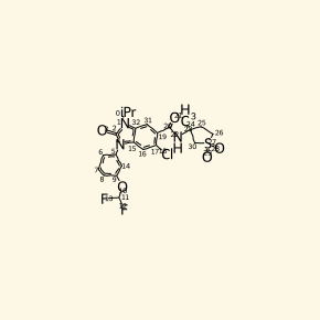 CC(C)n1c(=O)n(-c2cccc(OC(F)F)c2)c2cc(Cl)c(C(=O)N[C@@]3(C)CCS(=O)(=O)C3)cc21